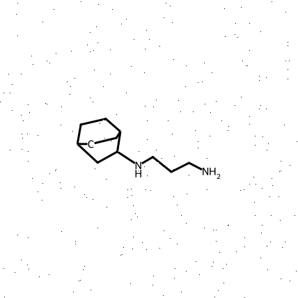 NCCCNC1CC2CCC1CC2